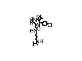 Cc1sc2c(c1C)C(c1ccc(Cl)cc1)=N[C@@H](CC(=O)NCCCCNC(C)C(C)C)c1nnc(C)n1-2